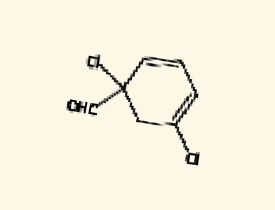 O=CC1(Cl)C=CC=C(Cl)C1